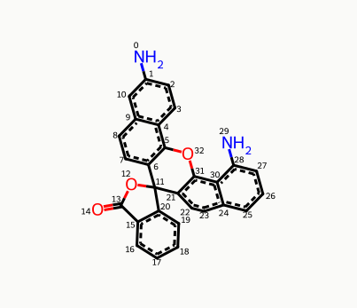 Nc1ccc2c3c(ccc2c1)C1(OC(=O)c2ccccc21)c1ccc2cccc(N)c2c1O3